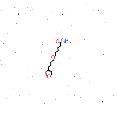 NC(=O)CCCCCOCCCCC1CCOCC1